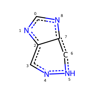 c1nc2cn[nH]cc-2n1